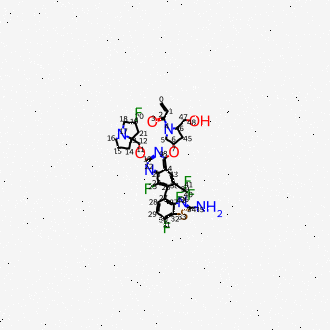 C=CC(=O)N1CC(Oc2nc(OCC34CCCN3CC(F)C4)nc3c(F)c(-c4ccc(F)c5sc(N)nc45)c(C(F)(F)F)cc23)CC1CO